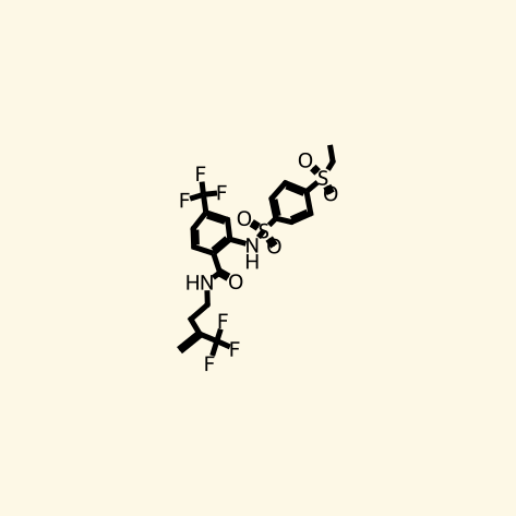 C=C(CCNC(=O)c1ccc(C(F)(F)F)cc1NS(=O)(=O)c1ccc(S(=O)(=O)CC)cc1)C(F)(F)F